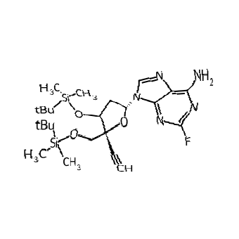 C#C[C@]1(CO[Si](C)(C)C(C)(C)C)O[C@@H](n2cnc3c(N)nc(F)nc32)CC1O[Si](C)(C)C(C)(C)C